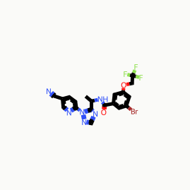 CC(NC(=O)c1cc(Br)cc(OCC(F)(F)F)c1)c1ncnn1-c1ccc(C#N)cn1